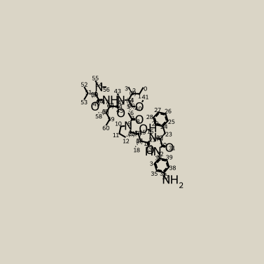 CC[C@H](C)[C@@H]([C@@H](CC(=O)N1CCC[C@H]1[C@H](OC)[C@@H](C)C(=O)N[C@@H](Cc1ccccc1)C(=O)Nc1ccc(N)cc1)OC)N(C)C(=O)[C@@H](NC(=O)[C@H](C(C)C)N(C)C)[C@@H](C)CC